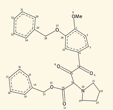 COc1ccc(C(=O)C(=O)C(C(=O)OCc2ccccc2)N2CCCC2)cc1OCc1ccccc1